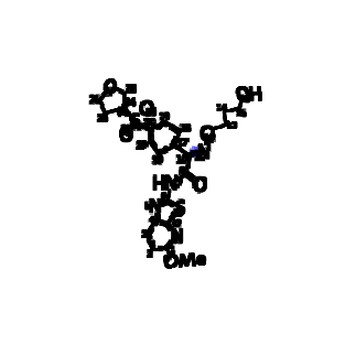 COc1ccc2nc(NC(=O)/C(=N/OCCCO)c3ccc(S(=O)(=O)[C@H]4CCOC4)cc3)sc2n1